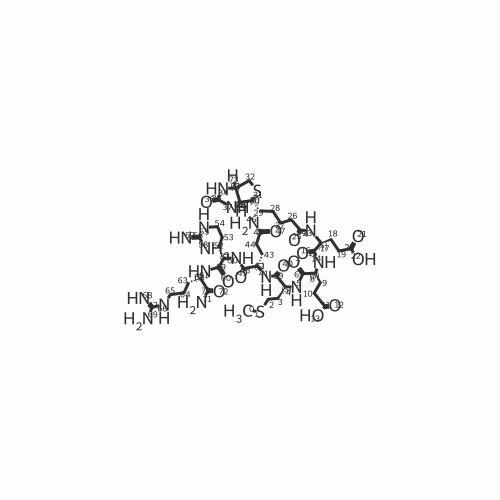 CSCC[C@H](NC(=O)[C@H](CCC(=O)O)NC(=O)[C@H](CCC(=O)O)NC(=O)CCCC[C@H]1SC[C@H]2NC(=O)N[C@H]21)C(=O)N[C@@H](CCC(N)=O)C(=O)N[C@@H](CCCNC(=N)N)C(=O)N[C@@H](CCCNC(=N)N)C(N)=O